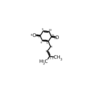 CC(C)=CCC1=CC(=O)C=CC1=O